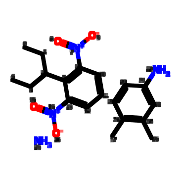 CCC(CC)c1c([N+](=O)[O-])cccc1[N+](=O)[O-].Cc1ccc(N)cc1C.N